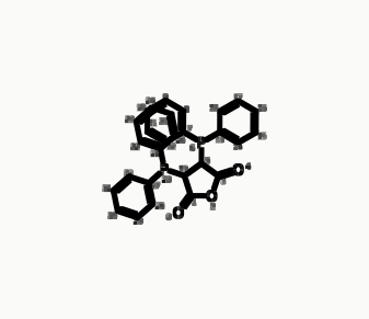 O=C1OC(=O)C(P(c2ccccc2)c2ccccc2)C1P(c1ccccc1)c1ccccc1